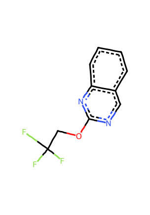 FC(F)(F)COc1ncc2ccccc2n1